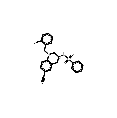 N#Cc1ccc2c(c1)C[C@H](NS(=O)(=O)c1ccccc1)CN2Cc1ccccc1Cl